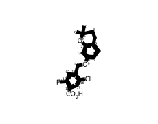 CC1(C)CCc2ccc(OCc3cc(F)c(C(=O)O)cc3Cl)cc2O1